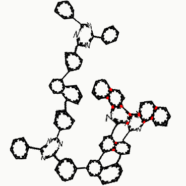 c1ccc(-c2nc(-c3ccccc3)nc(-c3ccc(-c4cccc5c(-c6ccc(-c7nc(-c8ccccc8)nc(-c8cccc(-c9cc(-c%10ccc(-c%11nc(-c%12ccccc%12)nc(-c%12ccccc%12)n%11)cc%10)c%10c(-c%11ccc(-c%12nc(-c%13ccccc%13)nc(-c%13ccccc%13)n%12)cc%11)cccc%10c9)c8)n7)cc6)cccc45)cc3)n2)cc1